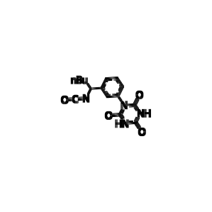 CCCCC(N=C=O)c1cccc(-n2c(=O)[nH]c(=O)[nH]c2=O)c1